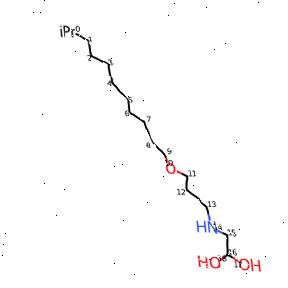 CC(C)CCCCCCCCCOCCCNCC(O)O